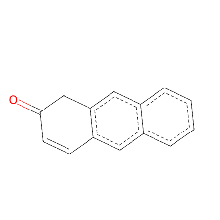 O=C1C=Cc2cc3ccccc3cc2C1